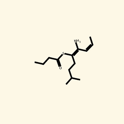 C/C=C\C(N)=C(/CCC(C)C)SC(=O)CCC